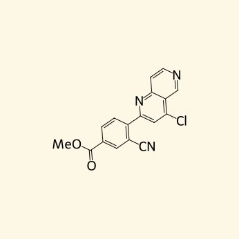 COC(=O)c1ccc(-c2cc(Cl)c3cnccc3n2)c(C#N)c1